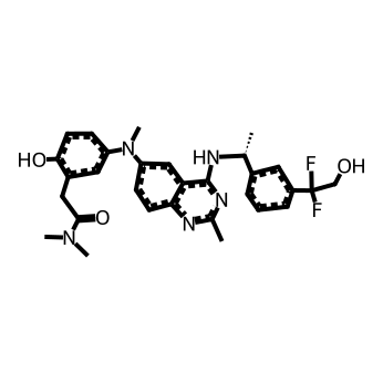 Cc1nc(N[C@H](C)c2cccc(C(F)(F)CO)c2)c2cc(N(C)c3ccc(O)c(CC(=O)N(C)C)c3)ccc2n1